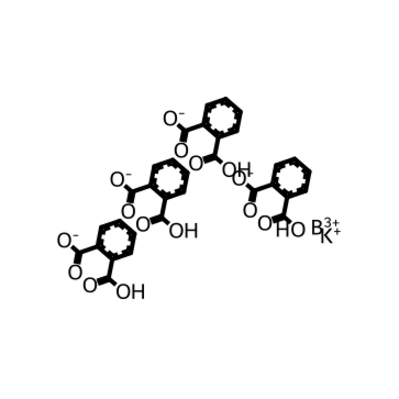 O=C([O-])c1ccccc1C(=O)O.O=C([O-])c1ccccc1C(=O)O.O=C([O-])c1ccccc1C(=O)O.O=C([O-])c1ccccc1C(=O)O.[B+3].[K+]